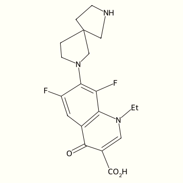 CCn1cc(C(=O)O)c(=O)c2cc(F)c(N3CCC4(CCNC4)C3)c(F)c21